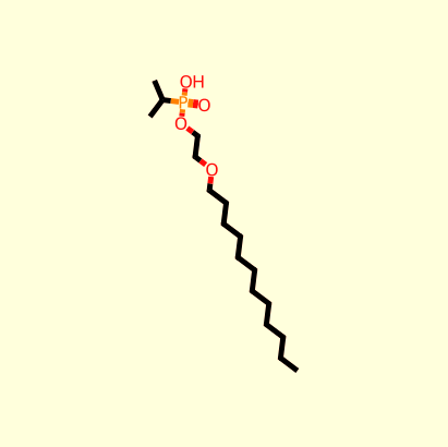 CCCCCCCCCCCCOCCOP(=O)(O)C(C)C